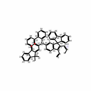 C=CC1=C(/C=C\C)C2(c3cc(N(c4ccc5c(c4)C(C)(C)c4ccccc4-5)c4ccccc4-c4ccccc4)ccc31)c1ccccc1-c1ccccc12